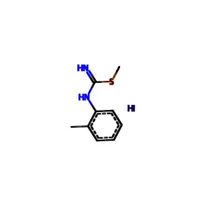 CSC(=N)Nc1ccccc1C.I